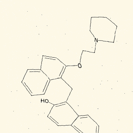 Oc1ccc2ccccc2c1Cc1c(OCCN2CCCCC2)ccc2ccccc12